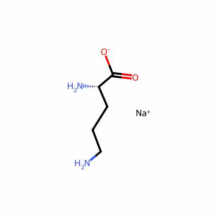 NCCC[C@H](N)C(=O)[O-].[Na+]